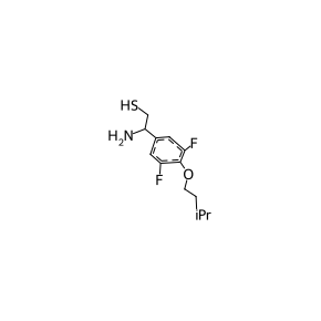 CC(C)CCOc1c(F)cc(C(N)CS)cc1F